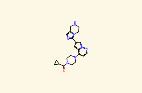 O=C(C1CC1)N1CCN(c2ccnn3cc(-c4ncc5n4CCNC5)cc23)CC1